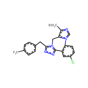 CCOC(=O)c1ncn2c1Cn1c(Cc3ccc(C(F)(F)F)cc3)nnc1-c1cc(Cl)ccc1-2